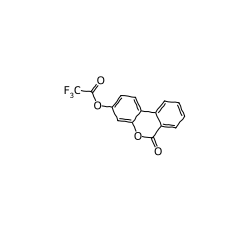 O=C(Oc1ccc2c(c1)oc(=O)c1ccccc12)C(F)(F)F